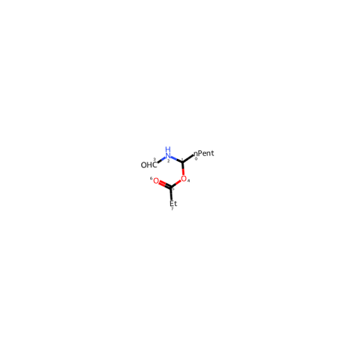 CCCCCC(NC=O)OC(=O)CC